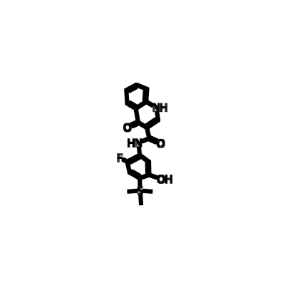 CS(C)(C)c1cc(F)c(NC(=O)c2c[nH]c3ccccc3c2=O)cc1O